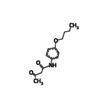 CCCCOc1ccc(NC(=O)CC(C)=O)cc1